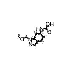 COCn1ncc2ccc(NC(=O)O)cc21